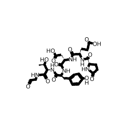 C[C@@H](O)[C@H](NC(=O)[C@H](Cc1ccc(O)cc1)NC(=O)[C@H](CC(=O)O)NC(=O)[C@H](CCC(=O)O)NC(=O)[C@@H]1CCC(=O)N1)C(=O)NC[C]=O